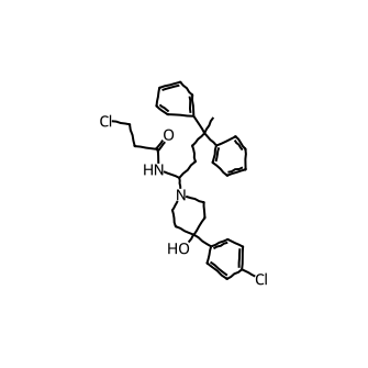 CC(CCC(NC(=O)CCCl)N1CCC(O)(c2ccc(Cl)cc2)CC1)(c1ccccc1)c1ccccc1